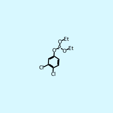 CCOP(OCC)Oc1ccc(Cl)c(Cl)c1